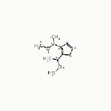 COC(C)C1=C(C(C)OC)CC=C1